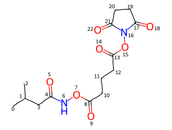 CC(C)CC(=O)NOC(=O)CCCC(=O)ON1C(=O)CCC1=O